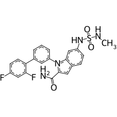 CNS(=O)(=O)Nc1ccc2cc(C(N)=O)n(-c3cccc(-c4ccc(F)cc4F)c3)c2c1